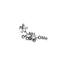 COC(=O)CC(=O)NC(C(=O)OC)C1CC(F)(F)C1